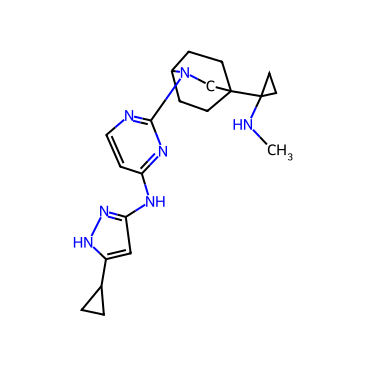 CNC1(C23CCC(CC2)N(c2nccc(Nc4cc(C5CC5)[nH]n4)n2)C3)CC1